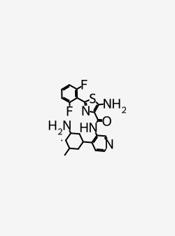 CC1[CH]C(N)CC(c2ccncc2NC(=O)c2nc(-c3c(F)cccc3F)sc2N)C1